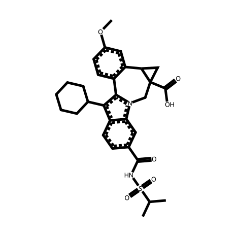 COc1ccc2c(c1)C1CC1(C(=O)O)Cn1c-2c(C2CCCCC2)c2ccc(C(=O)NS(=O)(=O)C(C)C)cc21